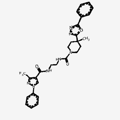 CC1(c2nnc(-c3ccccc3)o2)CCN(C(=O)NCCNC(=O)c2cn(-c3ccccc3)nc2C(F)(F)F)CC1